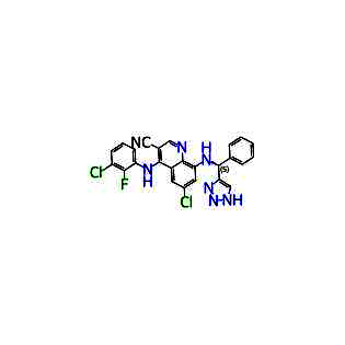 N#Cc1cnc2c(N[C@@H](c3ccccc3)c3c[nH]nn3)cc(Cl)cc2c1Nc1cccc(Cl)c1F